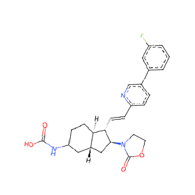 O=C(O)NC1CC[C@@H]2[C@@H](C1)C[C@H](N1CCOC1=O)[C@H]2C=Cc1ccc(-c2cccc(F)c2)cn1